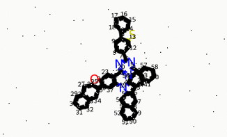 c1ccc(-c2nc(-c3ccc4c(c3)sc3ccccc34)nc(-c3cc4oc5cc6ccccc6cc5c4cc3-n3c4ccccc4c4cc5ccccc5cc43)n2)cc1